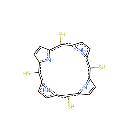 Sc1c2nc(c(S)c3ccc([nH]3)c(S)c3nc(c(S)c4ccc1[nH]4)C=C3)C=C2